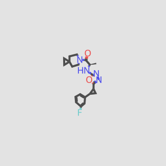 C[C@@H](Nc1nnc(C2CC2c2cccc(F)c2)o1)C(=O)N1CCC2(CC1)CC2